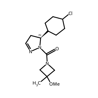 COC1(C)CN(C(=O)N2N=CC[C@H]2C2CCC(Cl)CC2)C1